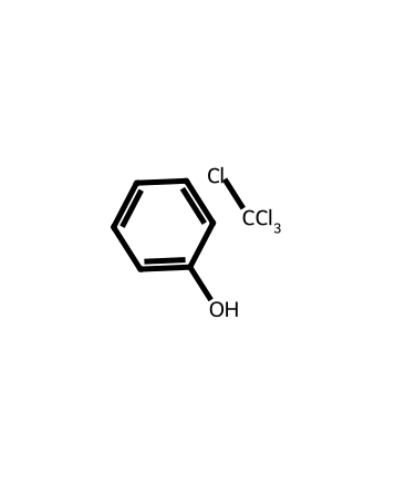 ClC(Cl)(Cl)Cl.Oc1ccccc1